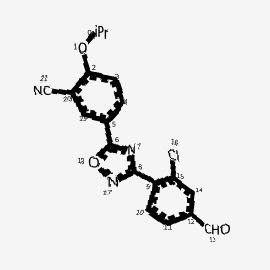 CC(C)Oc1ccc(-c2nc(-c3ccc(C=O)cc3Cl)no2)cc1C#N